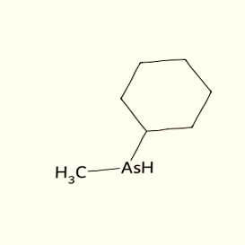 C[AsH]C1CCCCC1